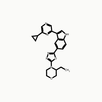 CCC1COCCN1c1nnc(-c2ccc3[nH]cc(-c4cncc(C5CC5)n4)c3c2)o1